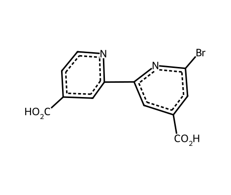 O=C(O)c1ccnc(-c2cc(C(=O)O)cc(Br)n2)c1